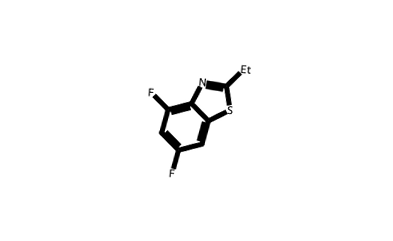 CCc1nc2c(F)cc(F)cc2s1